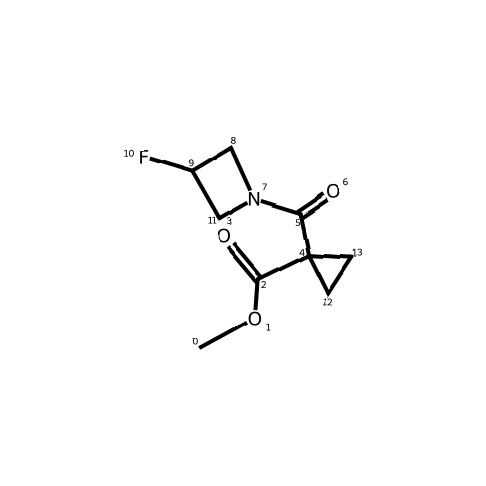 COC(=O)C1(C(=O)N2CC(F)C2)CC1